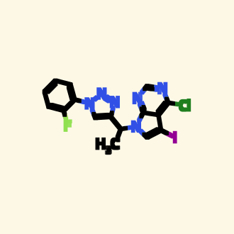 CC(c1cn(-c2ccccc2F)nn1)n1cc(I)c2c(Cl)ncnc21